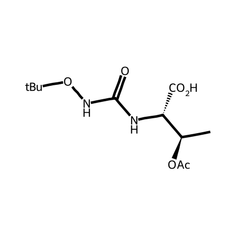 CC(=O)O[C@H](C)[C@H](NC(=O)NOC(C)(C)C)C(=O)O